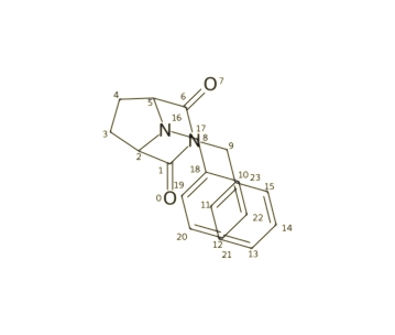 O=C1C2CCC(C(=O)N1Cc1ccccc1)N2Cc1ccccc1